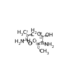 C=C(C)C(N)=O.CC[C@H](C)[C@@H](N)C(=O)O